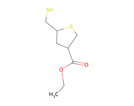 CCOC(=O)C1CSC(CS)C1